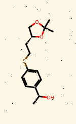 CC(O)c1ccc(SCC[C@H]2COC(C)(C)O2)cc1